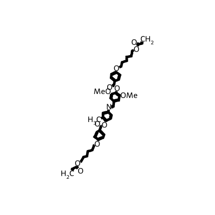 C=CC(=O)OCCCCCCOc1ccc(C(=O)Oc2ccc(/N=C/c3cc(OC)c(OC(=O)c4ccc(OCCCCCCOC(=O)C=C)cc4)c(OC)c3)cc2C)cc1